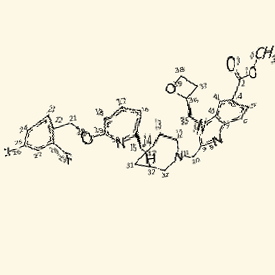 COC(=O)c1ccc2nc(CN3CC[C@@]4(c5cccc(OCc6ccc(Cl)cc6F)n5)C[C@H]4C3)n(C[C@@H]3CCO3)c2c1